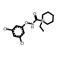 CC[N+]1(C(=O)NOc2cc(Cl)cc(Cl)c2)CCCCC1